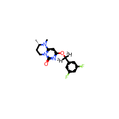 [2H]C([2H])(Oc1cc2n(c(=O)n1)CC[C@H](C)N2C)c1cc(F)cc(F)c1